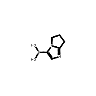 OB(O)c1cnc2n1CCC2